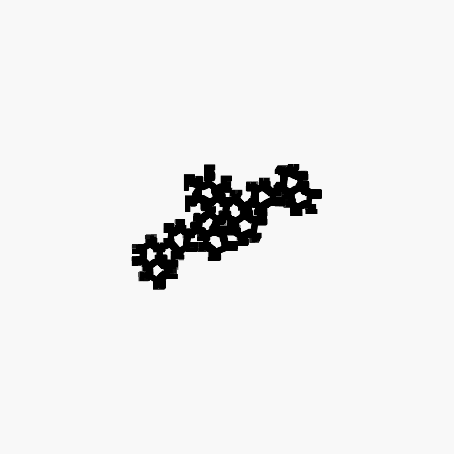 Fc1c(F)c(F)c2c3cc(-c4ccc(-c5cccc6ccccc56)cc4)c4ccccc4c3c3c4ccccc4c(-c4ccc(-c5cccc6ccccc56)cc4)cc3c2c1F